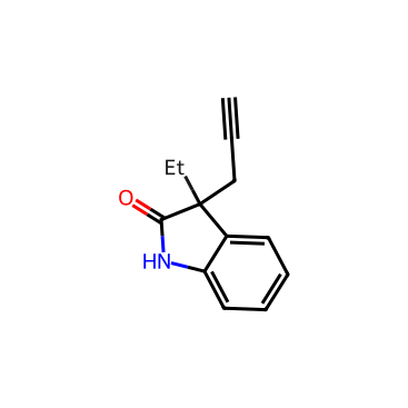 C#CCC1(CC)C(=O)Nc2ccccc21